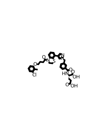 Cc1c(Cl)cccc1OCCCC(=O)N1CCSc2c(-c3cnn(Cc4cccc(C(=O)N[C@@H](CCC(=O)O)C(=O)O)c4)c3)cccc21